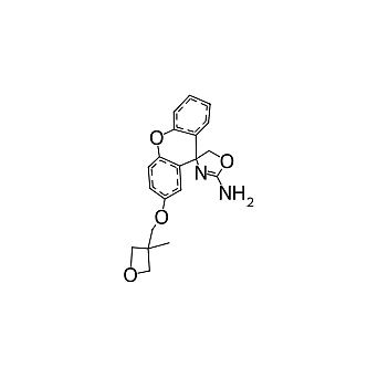 CC1(COc2ccc3c(c2)C2(COC(N)=N2)c2ccccc2O3)COC1